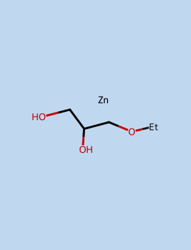 CCOCC(O)CO.[Zn]